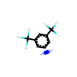 FC(F)(F)c1cccc(C(F)(F)F)c1.N#N